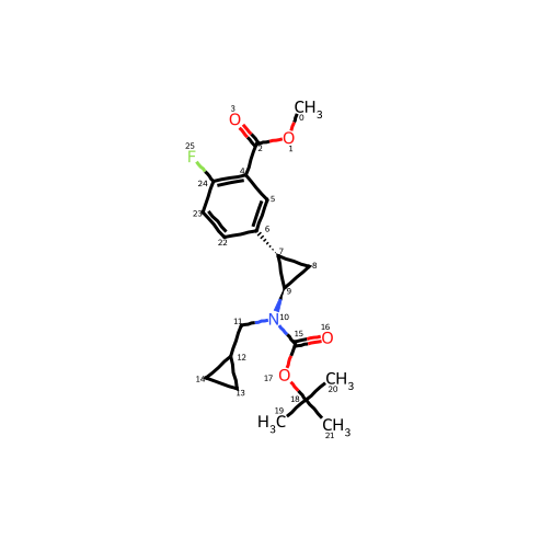 COC(=O)c1cc([C@@H]2C[C@H]2N(CC2CC2)C(=O)OC(C)(C)C)ccc1F